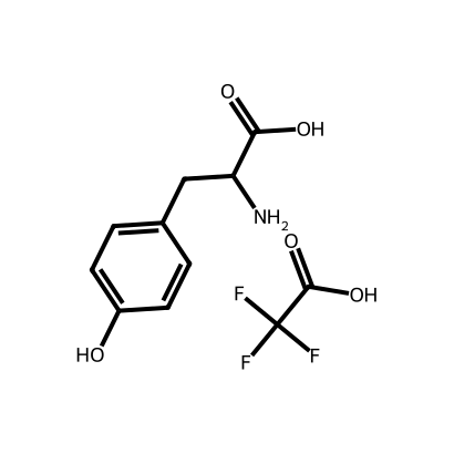 NC(Cc1ccc(O)cc1)C(=O)O.O=C(O)C(F)(F)F